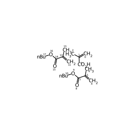 C=C(C)C(=O)O.C=C(C)C(=O)OCCCC.C=C(C)C(=O)OCCCC